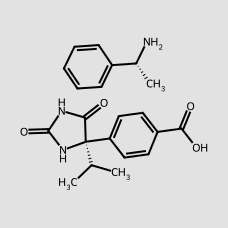 CC(C)[C@]1(c2ccc(C(=O)O)cc2)NC(=O)NC1=O.C[C@@H](N)c1ccccc1